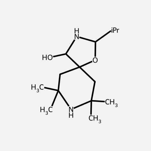 CC(C)C1NC(O)C2(CC(C)(C)NC(C)(C)C2)O1